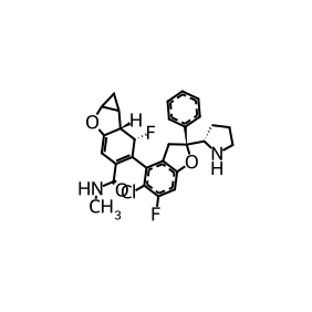 CNC(=O)C1=C(c2c(Cl)c(F)cc3c2C[C@](c2ccccc2)([C@@H]2CCCN2)O3)[C@@H](F)[C@@H]2C(=C1)OC1CC12